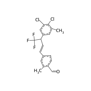 Cc1cc(/C=C/C(c2cc(C)c(Cl)c(Cl)c2)C(F)(F)F)ccc1C=O